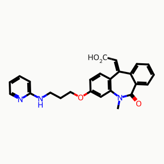 CN1C(=O)c2ccccc2/C(=C/C(=O)O)c2ccc(OCCCNc3ccccn3)cc21